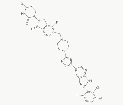 O=C1CCC(N2Cc3c(ccc(CN4CCC(n5cc(-c6cnc7c(c6)O[C@@H](c6c(Cl)ccc(F)c6Cl)N7)cn5)CC4)c3F)C2=O)C(=O)N1